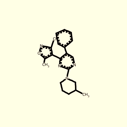 Cc1noc(C)c1-c1nc(N2CCCC(C)C2)ncc1-c1ccccc1